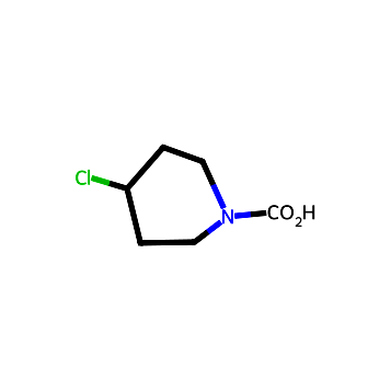 O=C(O)N1CCC(Cl)CC1